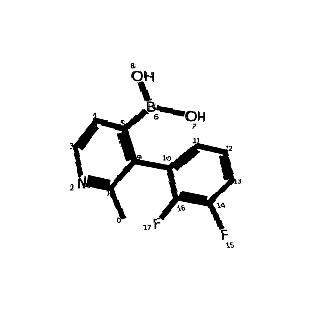 Cc1nccc(B(O)O)c1-c1cccc(F)c1F